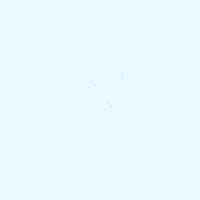 c1ccc(-c2ccc(-c3nc(-c4ccccc4)nc(-c4cccc5oc6cccc(-c7ccc(-c8ccccc8)cc7)c6c45)n3)cc2)cc1